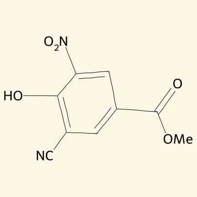 COC(=O)c1cc(C#N)c(O)c([N+](=O)[O-])c1